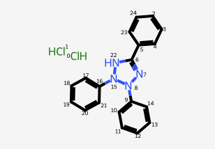 Cl.Cl.c1ccc(C2=NN(c3ccccc3)N(c3ccccc3)N2)cc1